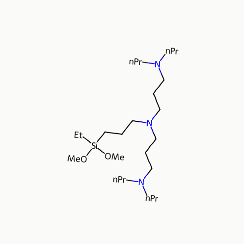 CCCN(CCC)CCCN(CCCN(CCC)CCC)CCC[Si](CC)(OC)OC